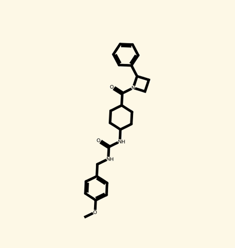 COc1ccc(CNC(=O)NC2CCC(C(=O)N3CCC3c3ccccc3)CC2)cc1